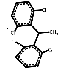 CC(c1c(Cl)cccc1Cl)c1c(Cl)cccc1Cl